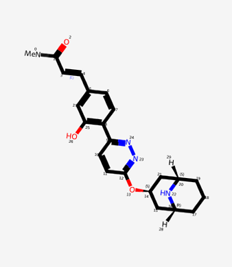 CNC(=O)/C=C/c1ccc(-c2ccc(O[C@@H]3C[C@H]4CCC[C@@H](C3)N4)nn2)c(O)c1